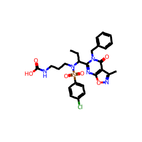 CCC(c1nc2onc(C)c2c(=O)n1Cc1ccccc1)N(CCCNC(=O)O)S(=O)(=O)c1ccc(Cl)cc1